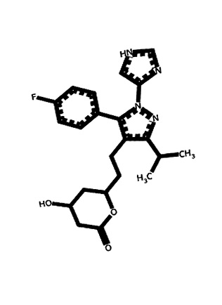 CC(C)c1nn(-c2c[nH]cn2)c(-c2ccc(F)cc2)c1CCC1CC(O)CC(=O)O1